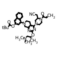 C=CC(=O)N1CCN(c2nc(O[C@H](C)CN(C)C)nc3c2CCN(c2cc(OC(=O)C(C)(C)C)cc4ccccc24)C3)CC1CC#N